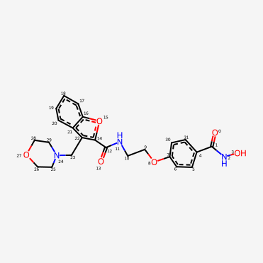 O=C(NO)c1ccc(OCCNC(=O)c2oc3ccccc3c2CN2CCOCC2)cc1